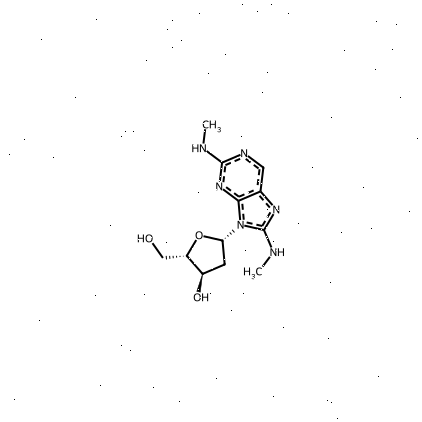 CNc1ncc2nc(NC)n([C@@H]3C[C@@H](O)[C@H](CO)O3)c2n1